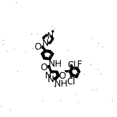 CNc1nnc(C(=O)Nc2ccc(C(=O)N3CCN(C)CC3)cc2)cc1OCc1c(Cl)ccc(F)c1Cl